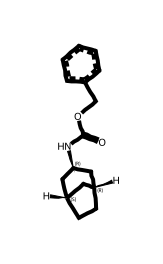 O=C(N[C@H]1C[C@@H]2CC[C@@H](C2)C1)OCc1ccccc1